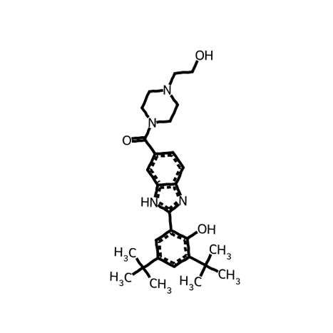 CC(C)(C)c1cc(-c2nc3ccc(C(=O)N4CCN(CCO)CC4)cc3[nH]2)c(O)c(C(C)(C)C)c1